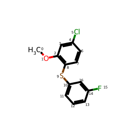 COc1cc(Cl)ccc1Sc1cccc(F)c1